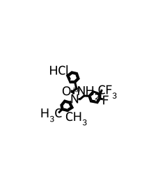 Cc1ccc(N(CCc2ccc(F)c(C(F)(F)F)c2)C(=O)[C@@H](N)c2ccccc2)cc1C.Cl